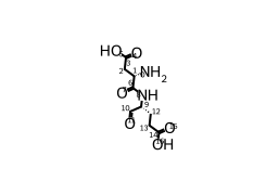 N[C@@H](CC(=O)O)C(=O)N[C@@H](C=O)CCC(=O)O